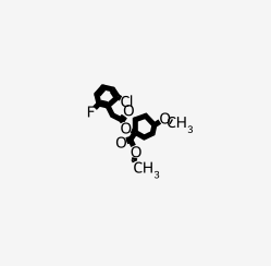 CCOC(=O)C1(OC(=O)Cc2c(F)cccc2Cl)CCC(OC)CC1